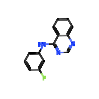 Fc1cccc(Nc2ncnc3ccccc23)c1